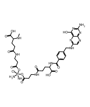 CNC(CCC(=O)NCCC(=O)OP(N)(N)(Cl)OC(=O)CCNC(=O)CCC(NC(=O)c1ccc(CNc2cnc3nc(N)nc(O)c3n2)cc1)C(=O)O)C(=O)O